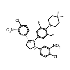 CC1(C)CCN(c2c(F)cc(N3[C@@H](c4ccc(Cl)c([N+](=O)[O-])c4)CC[C@@H]3c3ccc(Cl)c([N+](=O)[O-])c3)cc2F)CC1